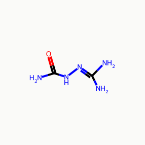 NC(=O)NN=C(N)N